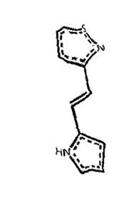 C(=Cc1ccc[nH]1)c1ccsn1